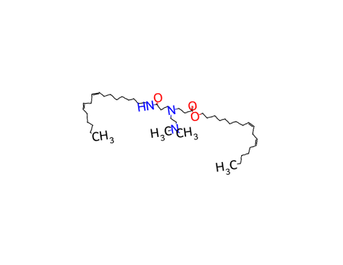 CCCCC/C=C\C/C=C\CCCCCCCCNC(=O)CCN(CCC(=O)OCCCCCCCC/C=C\C/C=C\CCCCC)CCN(C)C